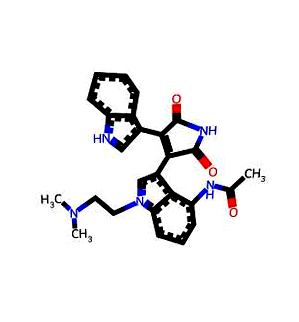 CC(=O)Nc1cccc2c1c(C1=C(c3c[nH]c4ccccc34)C(=O)NC1=O)cn2CCN(C)C